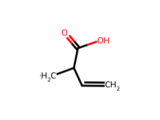 [CH2]C(C=C)C(=O)O